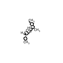 CCC1CCC(CC(C)[C@H](O)CCC[C@@H](CC(=O)[C@H]2CC[C@@H](C)CC2)C(C)C)CC1